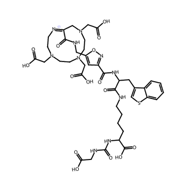 O=C(O)CNC(=O)NC(CCCCNC(=O)C(Cc1csc2ccccc12)NC(=O)c1cc(CNC(=O)/C2=N\CCN(CC(=O)O)CCN(CC(=O)O)CCN(CC(=O)O)C2)on1)C(=O)O